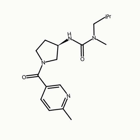 Cc1ccc(C(=O)N2CC[C@@H](NC(=O)N(C)CC(C)C)C2)cn1